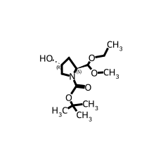 CCOC(OC)[C@@H]1C[C@@H](O)CN1C(=O)OC(C)(C)C